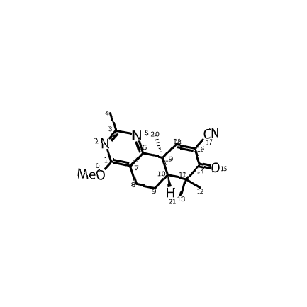 COc1nc(C)nc2c1CC[C@H]1C(C)(C)C(=O)C(C#N)=C[C@]21C